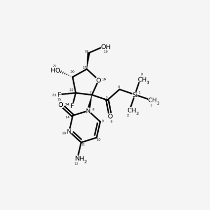 C[Si](C)(C)CC(=O)[C@@]1(n2ccc(N)nc2=O)O[C@H](CO)[C@@H](O)C1(F)F